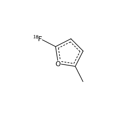 Cc1ccc([18F])o1